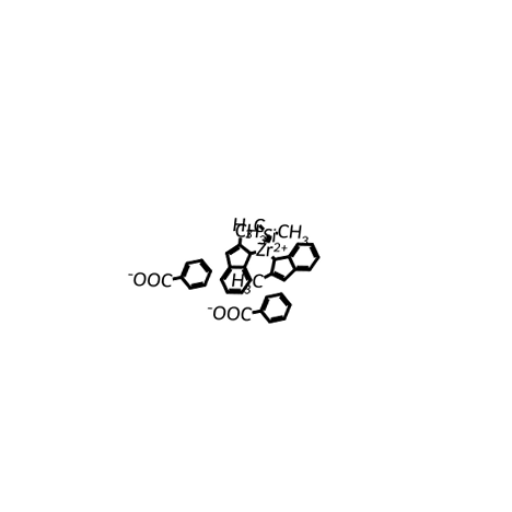 CC1=Cc2ccccc2[CH]1[Zr+2]([CH]1C(C)=Cc2ccccc21)=[Si](C)C.O=C([O-])c1ccccc1.O=C([O-])c1ccccc1